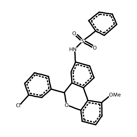 COc1cccc2c1-c1ccc(NS(=O)(=O)c3ccccc3)cc1C(c1cccc(Cl)c1)O2